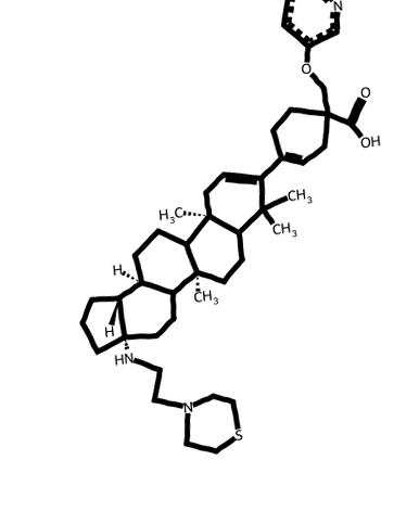 CC1(C)C(C2=CCC(COc3cccnc3)(C(=O)O)CC2)=CC[C@@]2(C)C1CC[C@@]1(C)C3CC[C@@]4(NCCN5CCSCC5)CCC[C@@H]4[C@H]3CCC12